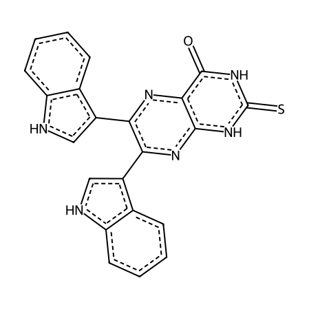 O=c1[nH]c(=S)[nH]c2nc(-c3c[nH]c4ccccc34)c(-c3c[nH]c4ccccc34)nc12